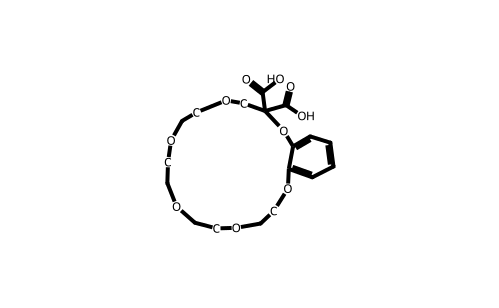 O=C(O)C1(C(=O)O)COCCOCCOCCOCCOc2ccccc2O1